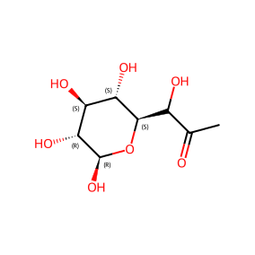 CC(=O)C(O)[C@H]1O[C@@H](O)[C@H](O)[C@@H](O)[C@@H]1O